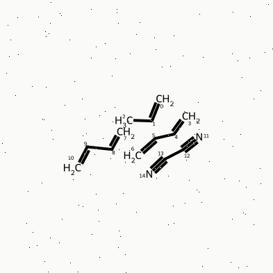 C=CC.C=CC=C.C=CC=C.N#CC#N